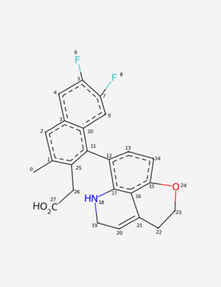 Cc1cc2cc(F)c(F)cc2c(-c2ccc3c4c2NCC=C4CCO3)c1CC(=O)O